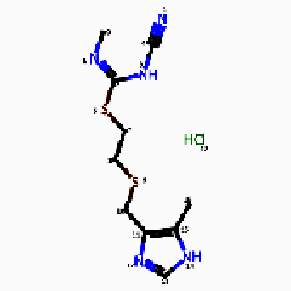 C/N=C(\NC#N)SCCSCc1nc[nH]c1C.Cl